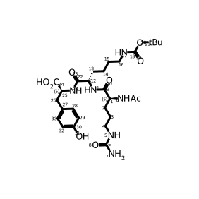 CC(=O)N[C@@H](CCCNC(N)=O)C(=O)N[C@@H](CCCCNC(=O)OC(C)(C)C)C(=O)N[C@@H](Cc1ccc(O)cc1)C(=O)O